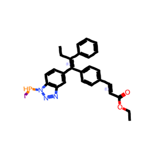 CCOC(=O)/C=C/c1ccc(/C(=C(/CC)c2ccccc2)c2ccc3c(c2)nnn3PI)cc1